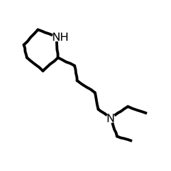 CCN(CC)CCCCC1CCCCN1